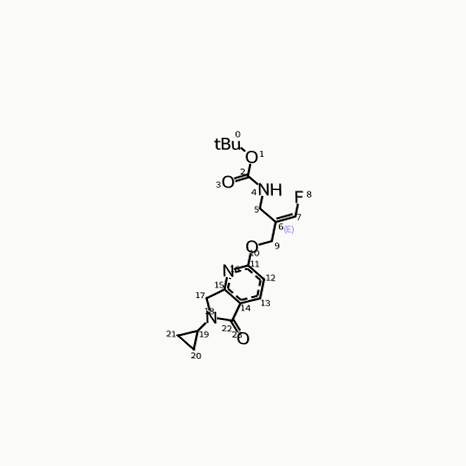 CC(C)(C)OC(=O)NC/C(=C\F)COc1ccc2c(n1)CN(C1CC1)C2=O